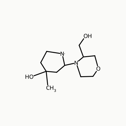 CC1(O)CC[N]C(N2CCOCC2CO)C1